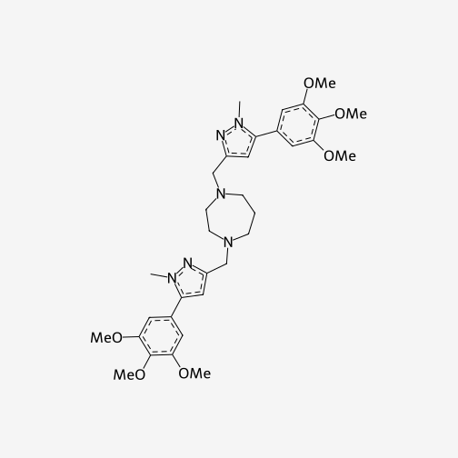 COc1cc(-c2cc(CN3CCCN(Cc4cc(-c5cc(OC)c(OC)c(OC)c5)n(C)n4)CC3)nn2C)cc(OC)c1OC